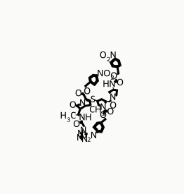 CC1C(S[C@H]2C[C@@H](C(=O)N3CC[C@@H](NC(=O)OCc4ccc([N+](=O)[O-])cc4)C3)N(C(=O)OCc3ccc([N+](=O)[O-])cc3)C2)=C(C(=O)OCc2ccc([N+](=O)[O-])cc2)N2C(=O)C([C@@H](C)NC(=O)Cn3cnnn3)C12